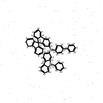 C1=CC2=C(CC1)c1ccccc1C21c2ccccc2-c2ccc(N(c3ccc(-c4ccccc4)cc3)c3ccc4c5ccccc5n(-c5ccccc5)c4c3)cc21